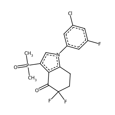 CP(C)(=O)c1cn(-c2cc(F)cc(Cl)c2)c2c1C(=O)C(F)(F)CC2